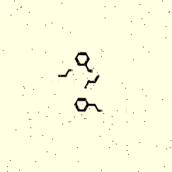 O=C(O)CCc1ccccc1OCc1ccnc(-c2ccccc2OCC(O)CO)n1